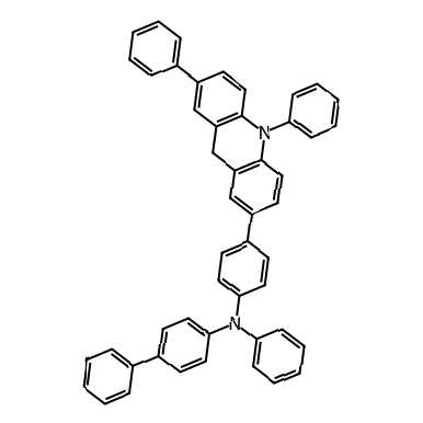 c1ccc(-c2ccc(N(c3ccccc3)c3ccc(-c4ccc5c(c4)Cc4cc(-c6ccccc6)ccc4N5c4ccccc4)cc3)cc2)cc1